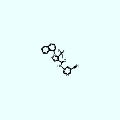 N#Cc1cncc(NC(=O)c2cnn(-c3cccc4ccccc34)c2C(F)(F)F)c1